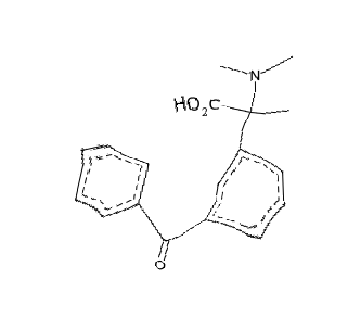 CN(C)C(C)(C(=O)O)c1cccc(C(=O)c2ccccc2)c1